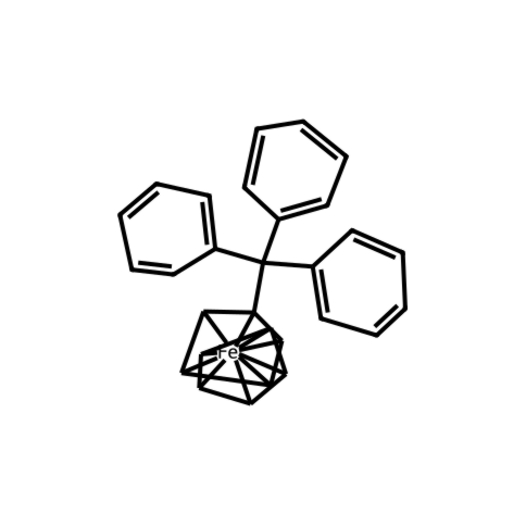 c1ccc(C(c2ccccc2)(c2ccccc2)[C]23[CH]4[CH]5[CH]6[CH]2[Fe]56432789[CH]3[CH]2[CH]7[CH]8[CH]39)cc1